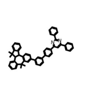 CC1(C)c2cc(-c3cccc(-c4ccc(-c5cc(-c6ccccc6)nc(-c6ccccc6)n5)cc4)c3)ccc2C2c3ccccc3C(C)(C)C2c2ccccc21